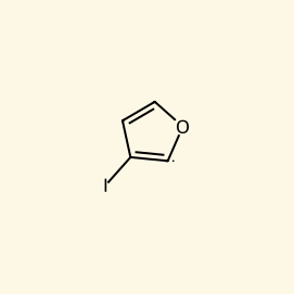 Ic1[c]occ1